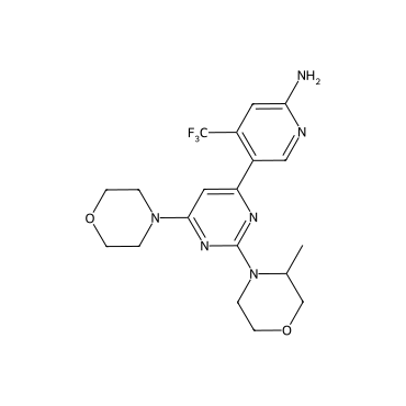 CC1COCCN1c1nc(-c2cnc(N)cc2C(F)(F)F)cc(N2CCOCC2)n1